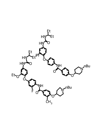 CCCCN1CCC(Oc2ccc(C(=O)Nc3ccc(Oc4ccc(NC(=O)NC(CC)CC)cc4C(C)C)cc3)cc2)CC1.CCCCN1CCC(Oc2ccc(C(=O)Nc3ccc(Oc4ccc(NC(=O)NC(CC)CC)cc4OCC)cc3F)cc2C)CC1